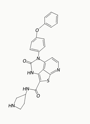 O=C(NC1CCNC1)c1sc2nccc3c2c1NC(=O)N3c1ccc(Oc2ccccc2)cc1